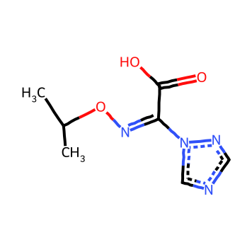 CC(C)ON=C(C(=O)O)n1cncn1